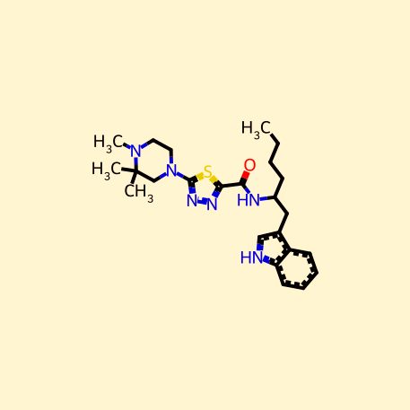 CCCCC(Cc1c[nH]c2ccccc12)NC(=O)c1nnc(N2CCN(C)C(C)(C)C2)s1